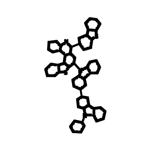 c1ccc(-n2c3ccccc3c3cc(-c4ccc5c(c4)c4ccccc4n5-c4cc5c(-c6ccc7sc8ccccc8c7c6)nc6ccccc6c5c5c4sc4ccccc45)ccc32)cc1